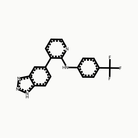 FC(F)(F)c1ccc(Nc2ncccc2-c2ccc3[nH]nnc3c2)cc1